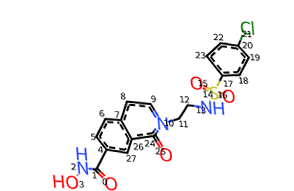 O=C(NO)c1ccc2ccn(CCNS(=O)(=O)c3ccc(Cl)cc3)c(=O)c2c1